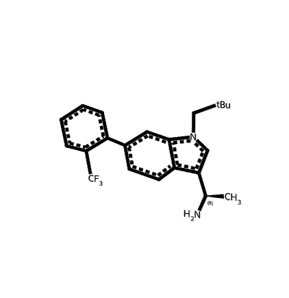 C[C@@H](N)c1cn(CC(C)(C)C)c2cc(-c3ccccc3C(F)(F)F)ccc12